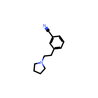 N#Cc1cccc(CCN2CCCC2)c1